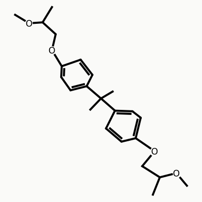 COC(C)COc1ccc(C(C)(C)c2ccc(OCC(C)OC)cc2)cc1